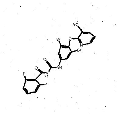 N#Cc1cccnc1Oc1c(Br)cc(NC(=O)NC(=O)c2c(F)cccc2F)cc1Br